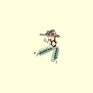 CCCN(C(=O)OC(c1cc(OC(F)(F)C(F)(F)C(F)(F)C(F)(F)C(F)(F)C(F)(F)C(F)(F)F)c(OC(F)(F)C(F)(F)C(F)(F)C(F)(F)C(F)(F)C(F)(F)C(F)(F)F)cc1[N+](=O)[O-])C(C)C)[Si](OC)(OC)OC